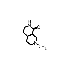 CN1CCC2CCNC(=O)C2C1